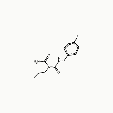 CCCN(C(N)=O)C(=O)NCc1ccc(F)cc1